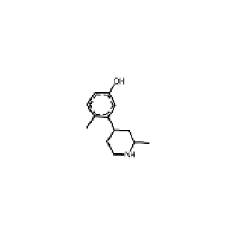 Cc1ccc(O)cc1C1CCNC(C)C1